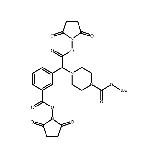 CC(C)(C)OC(=O)N1CCN(C(C(=O)ON2C(=O)CCC2=O)c2cccc(C(=O)ON3C(=O)CCC3=O)c2)CC1